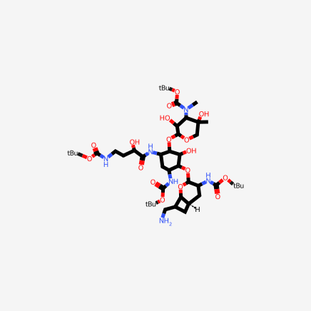 CN(C(=O)OC(C)(C)C)C1C(O)C(OC2C(NC(=O)C(O)CCNC(=O)OC(C)(C)C)CC(NC(=O)OC(C)(C)C)C(OC3OC4C(CN)C[C@@H]4CC3NC(=O)OC(C)(C)C)C2O)OCC1(C)O